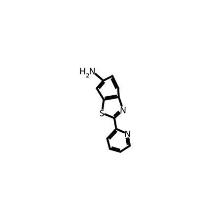 Nc1ccc2nc(-c3ccccn3)sc2c1